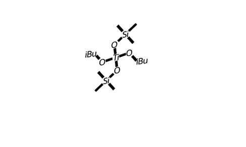 CCC(C)[O][Ti]([O]C(C)CC)([O][Si](C)(C)C)[O][Si](C)(C)C